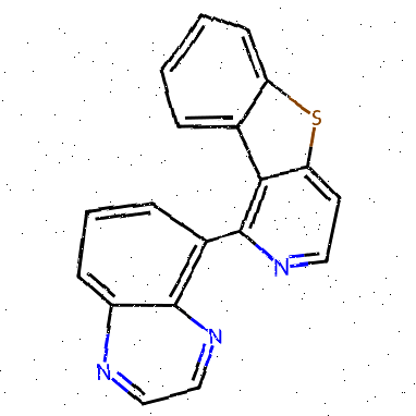 c1cc(-c2nccc3sc4ccccc4c23)c2nccnc2c1